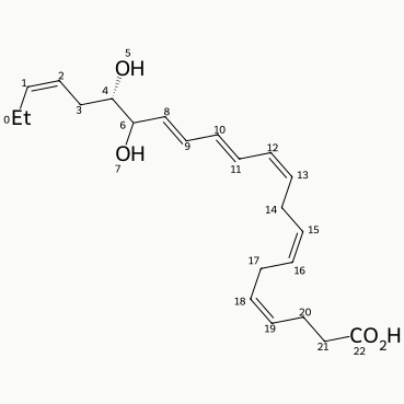 CC/C=C\C[C@H](O)C(O)/C=C/C=C/C=C\C/C=C\C/C=C\CCC(=O)O